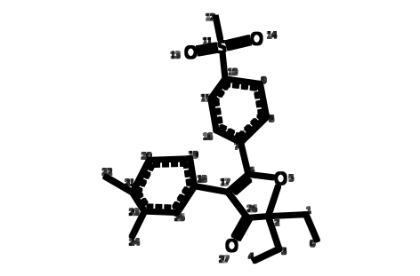 CCC1(CC)OC(c2ccc(S(C)(=O)=O)cc2)=C(c2ccc(C)c(C)c2)C1=O